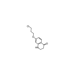 O=C1CCNc2cc(OCCCCl)ccc21